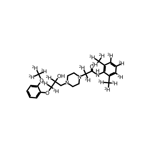 [2H]c1c([2H])c(C([2H])([2H])[2H])c(NC(=O)C([2H])([2H])N2CCN(CC([2H])(O)C([2H])([2H])Oc3ccccc3OC([2H])([2H])[2H])CC2)c(C([2H])([2H])[2H])c1[2H]